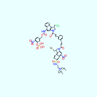 CN(C)CCNS(=O)(=O)c1ccc2c3c(cc([N+](=O)[O-])c2c1)N(C(=O)/C=C/c1cccc(/C=C/C(=O)N2CC(CCl)c4c2cc(NC(=O)OCc2ccc([N+](=O)[O-])c(OP(=O)(O)O)c2)c2ccccc42)c1)CC3CBr